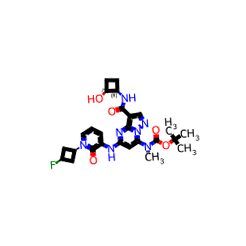 CN(C(=O)OC(C)(C)C)c1cc(Nc2cccn([C@H]3C[C@H](F)C3)c2=O)nc2c(C(=O)N[C@@H]3CC[C@@H]3O)cnn12